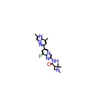 Cc1cn2nc(-c3cc(F)c4nc(NC(=O)C5CN(C)C5(C)C)cn4c3)cc(C)c2n1